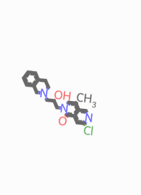 Cc1cn(C[C@H](O)CN2CCc3ccccc3C2)c(=O)c2cc(Cl)ncc12